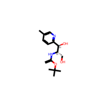 C=C(N[C@@H](CO)[C@H](O)c1ccc(C)cn1)OC(C)(C)C